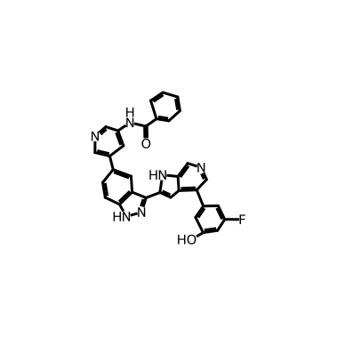 O=C(Nc1cncc(-c2ccc3[nH]nc(-c4cc5c(-c6cc(O)cc(F)c6)cncc5[nH]4)c3c2)c1)c1ccccc1